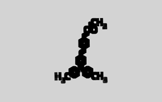 C=CC(=O)OCCc1ccc(C=Cc2ccc(N(c3ccc(C)cc3)c3ccc(C)cc3)cc2)cc1